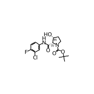 CC(C)(C)OC(=O)N1CC[C@@H](O)[C@H]1C(=O)Nc1ccc(F)c(Cl)c1